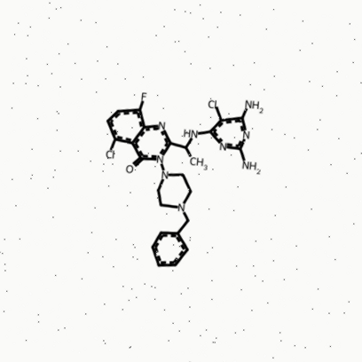 CC(Nc1nc(N)nc(N)c1Cl)c1nc2c(F)ccc(Cl)c2c(=O)n1N1CCN(Cc2ccccc2)CC1